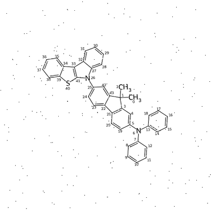 CC1(C)c2cc(N(c3ccccc3)c3ccccc3)ccc2-c2ccc(-n3c4ccccc4c4c5ccccc5sc43)cc21